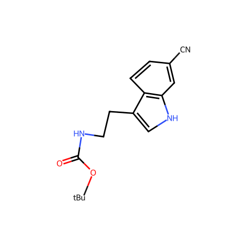 CC(C)(C)OC(=O)NCCc1c[nH]c2cc(C#N)ccc12